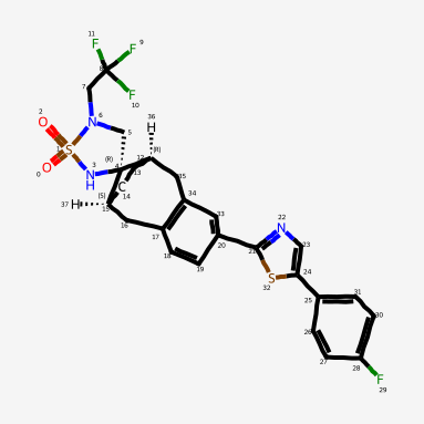 O=S1(=O)N[C@@]2(CN1CC(F)(F)F)[C@@H]1CC[C@H]2Cc2ccc(-c3ncc(-c4ccc(F)cc4)s3)cc2C1